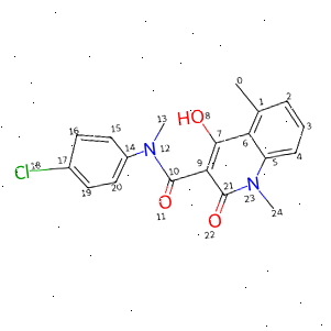 Cc1cccc2c1c(O)c(C(=O)N(C)c1ccc(Cl)cc1)c(=O)n2C